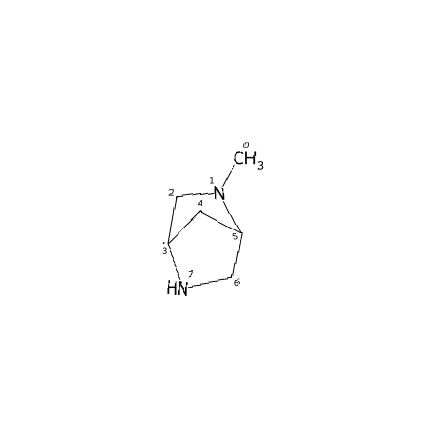 CN1C[C]2CC1CN2